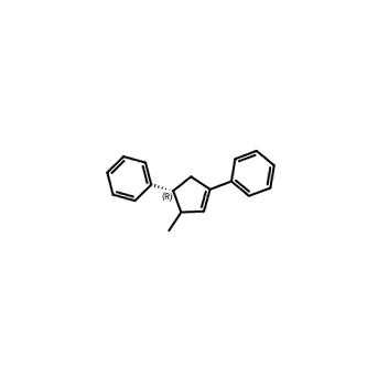 CC1C=C(c2ccccc2)C[C@H]1c1ccccc1